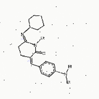 CCN1C(=O)/C(=C\c2ccc(N(CC)CC)cc2)CC/C1=N/C1CCCCC1